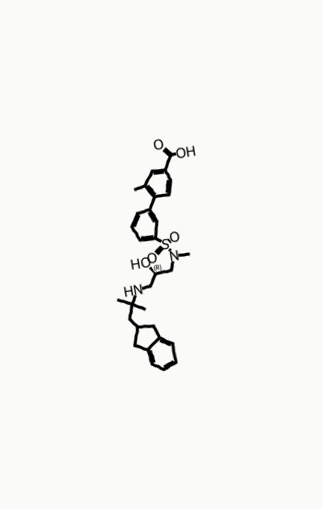 Cc1cc(C(=O)O)ccc1-c1cccc(S(=O)(=O)N(C)C[C@H](O)CNC(C)(C)CC2Cc3ccccc3C2)c1